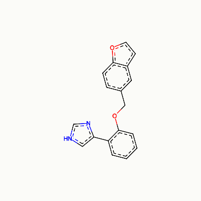 c1ccc(-c2c[nH]cn2)c(OCc2ccc3occc3c2)c1